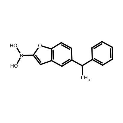 CC(c1ccccc1)c1ccc2oc(B(O)O)cc2c1